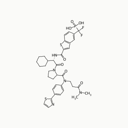 CN(C)C(=O)CCN(C(=O)C1CCCN1C(=O)[C@@H](NC(=O)c1cc2cc(C(F)(F)P(=O)(O)O)ccc2s1)C1CCCCC1)c1ccc(-c2nccs2)cc1